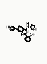 Oc1ccccc1-c1nc(N[C@H]2CCNC2)c2ccc(-c3cn[nH]c3)cc2n1